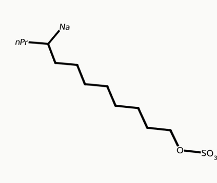 CCC[CH]([Na])CCCCCCCCOS(=O)(=O)O